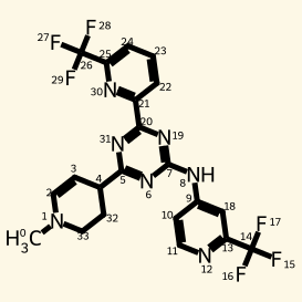 CN1C=CC(c2nc(Nc3ccnc(C(F)(F)F)c3)nc(-c3cccc(C(F)(F)F)n3)n2)CC1